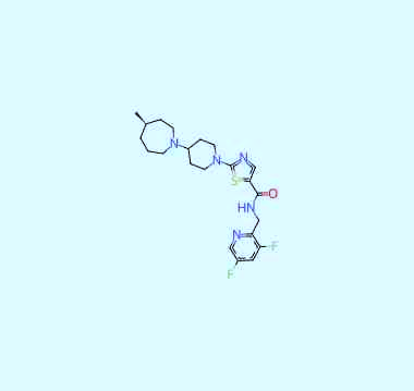 C[C@@H]1CCCN(C2CCN(c3ncc(C(=O)NCc4ncc(F)cc4F)s3)CC2)CC1